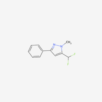 Cn1nc(-c2ccccc2)cc1C(F)F